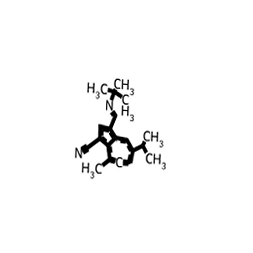 Cc1ccc(C(C)C)cc2c(C=NC(C)(C)C)cc(C#N)c1-2